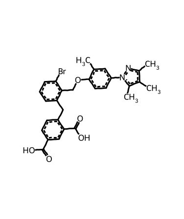 Cc1cc(-n2nc(C)c(C)c2C)ccc1OCc1c(Br)cccc1Cc1ccc(C(=O)O)cc1C(=O)O